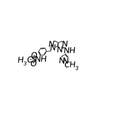 Cn1cc(Nc2ncc3cnn(Cc4cccc(NS(C)(=O)=O)c4)c3n2)cn1